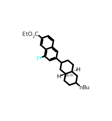 CCCCC1CC[C@@H]2CC(c3cc(F)c4cc(C(=O)OCC)ccc4c3)CC[C@H]2C1